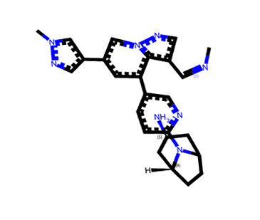 C/N=C\c1cnn2cc(-c3cnn(C)c3)cc(-c3ccc(N4C5CC[C@@H]4C[C@@H](N)C5)nc3)c12